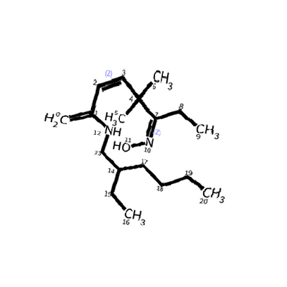 C=C(/C=C\C(C)(C)/C(CC)=N\O)NCC(CC)CCCC